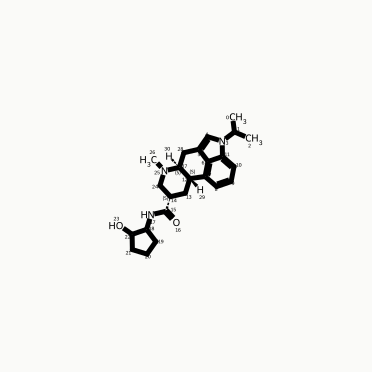 CC(C)n1cc2c3c(cccc31)[C@@H]1C[C@H](C(=O)NC3CCCC3O)CN(C)[C@H]1C2